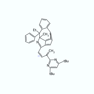 C=C(/C=C\C1=NC2(C)c3cc(ccc31)-c1ccccc1C2(CC)c1ccccc1)c1nc(C(C)(C)C)cc(C(C)(C)C)n1